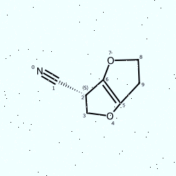 N#C[C@H]1COC2=C1OCC2